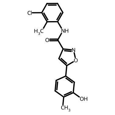 Cc1ccc(-c2cc(C(=O)Nc3cccc(Cl)c3C)no2)cc1O